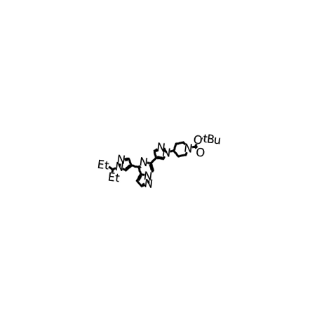 CCC(CC)n1cc(-c2nc(-c3cnn(C4CCN(C(=O)OC(C)(C)C)CC4)c3)cn3nccc23)cn1